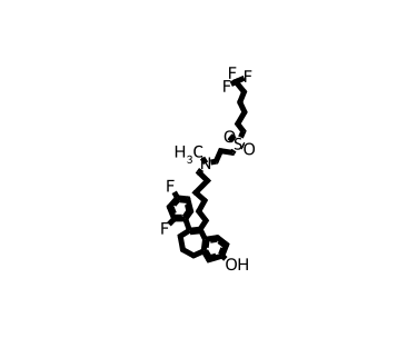 CN(CCCCCCC1=C(c2ccc(F)cc2F)CCCc2cc(O)ccc21)CCCS(=O)(=O)CCCCCC(F)(F)F